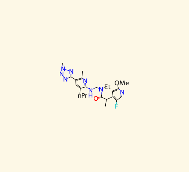 CCCc1cc(-c2nnn(C)n2)c(C)nc1NCN(CC)C(=O)[C@H](C)c1cc(OC)ncc1F